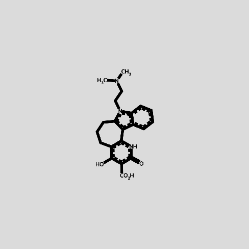 CN(C)CCn1c2c(c3ccccc31)-c1[nH]c(=O)c(C(=O)O)c(O)c1CCC2